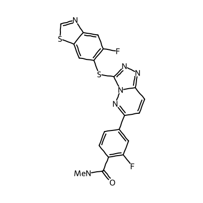 CNC(=O)c1ccc(-c2ccc3nnc(Sc4cc5scnc5cc4F)n3n2)cc1F